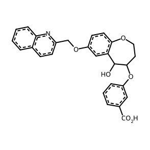 O=C(O)c1cccc(OC2CCOc3ccc(OCc4ccc5ccccc5n4)cc3C2O)c1